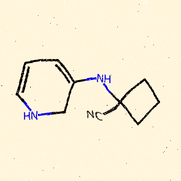 N#CC1(NC2=CC=CNC2)CCC1